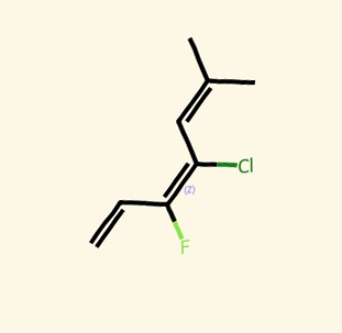 C=C/C(F)=C(/Cl)C=C(C)C